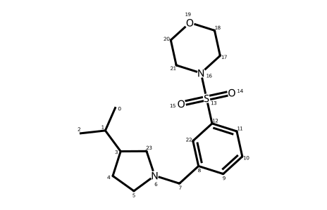 CC(C)C1CCN(Cc2cccc(S(=O)(=O)N3CCOCC3)c2)C1